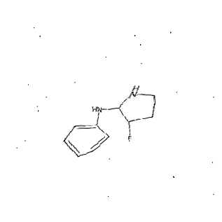 FC1CCNC1Nc1ccccc1